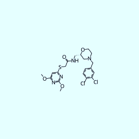 COc1cc(SCC(=O)NC[C@H]2CN(Cc3ccc(Cl)c(Cl)c3)CCO2)nc(OC)n1